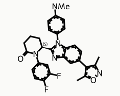 CNc1ccc(-n2c([C@@H]3CCCC(=O)N3c3ccc(F)c(F)c3)nc3cc(-c4c(C)noc4C)ccc32)cc1